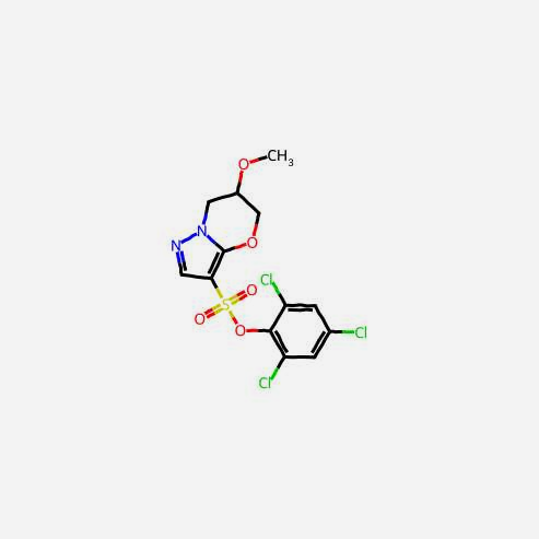 COC1COc2c(S(=O)(=O)Oc3c(Cl)cc(Cl)cc3Cl)cnn2C1